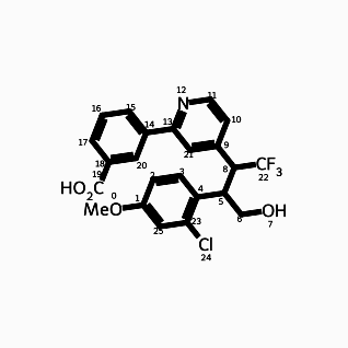 COc1ccc(C(CO)C(c2ccnc(-c3cccc(C(=O)O)c3)c2)C(F)(F)F)c(Cl)c1